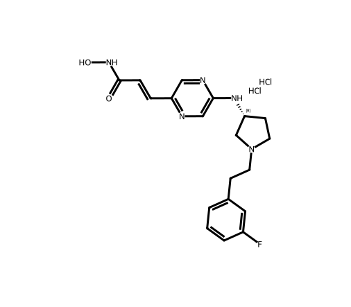 Cl.Cl.O=C(C=Cc1cnc(N[C@@H]2CCN(CCc3cccc(F)c3)C2)cn1)NO